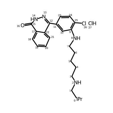 CC(C)CNCCCCCNc1cc(-c2n[nH]c(=O)c3ccccc23)ccc1Cl.Cl